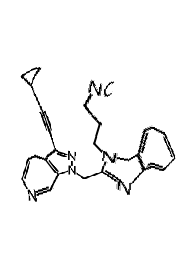 [C-]#[N+]CCCn1c(Cn2nc(C#CC3CC3)c3ccncc32)nc2ccccc21